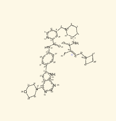 O=C(N[C@H]1CCCN(Cc2ccnc(C(=O)Nc3ccc(-c4cc5c(N6CCOCC6)ncnc5[nH]4)cc3)c2)C1)/C(F)=C\CN1CCC1